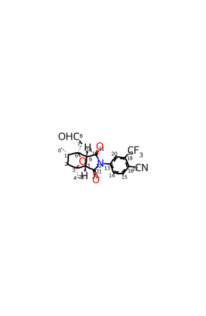 C[C@H]1C[C@@]2(C)O[C@]1(CC=O)[C@@H]1C(=O)N(c3ccc(C#N)c(C(F)(F)F)c3)C(=O)[C@@H]12